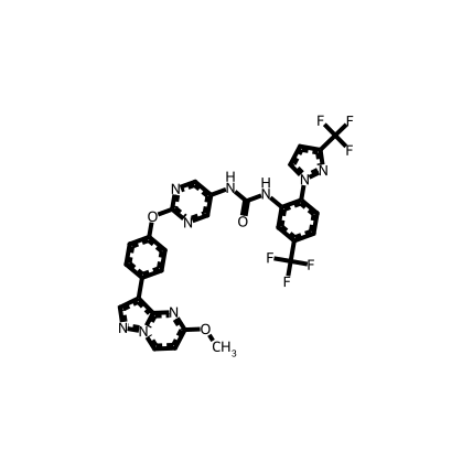 COc1ccn2ncc(-c3ccc(Oc4ncc(NC(=O)Nc5cc(C(F)(F)F)ccc5-n5ccc(C(F)(F)F)n5)cn4)cc3)c2n1